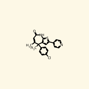 CC1=CC(=O)Nc2sc(-c3ccncc3)cc2C1(C)c1ccc(Cl)cc1